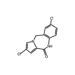 O=C1Nc2ccc(Cl)cc2Cn2cc(Cl)cc21